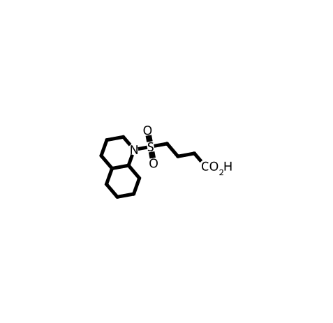 O=C(O)CCCS(=O)(=O)N1CCCC2CCCCC21